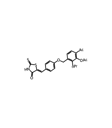 CCCc1c(COc2ccc(/C=C3\SC(=S)NC3=O)cc2)ccc(C(C)=O)c1OC(C)=O